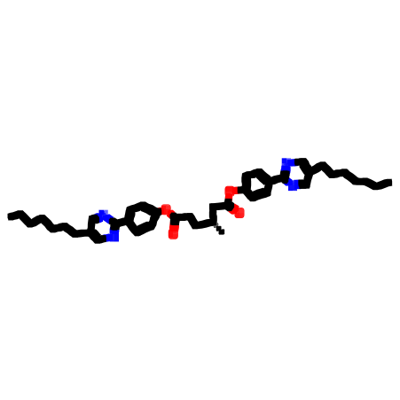 CCCCCCCc1cnc(-c2ccc(OC(=O)CC[C@@H](C)CC(=O)Oc3ccc(-c4ncc(CCCCCCC)cn4)cc3)cc2)nc1